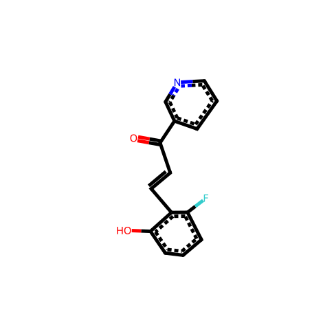 O=C(C=Cc1c(O)cccc1F)c1cccnc1